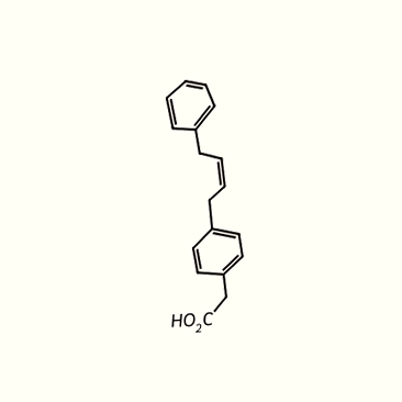 O=C(O)Cc1ccc(C/C=C\Cc2ccccc2)cc1